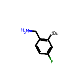 CC(C)(C)c1cc(F)ccc1CN